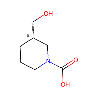 O=C(O)N1CCC[C@H](CO)C1